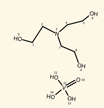 OCCN(CCO)CCO.[O]=[V]([OH])([OH])[OH]